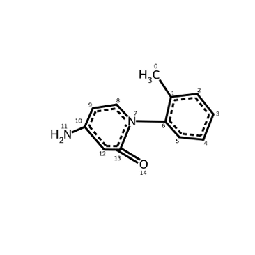 Cc1ccccc1-n1ccc(N)cc1=O